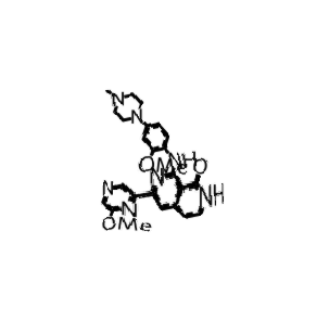 COc1cncc(-c2cc3cc[nH]c(=O)c3c(Nc3ccc(N4CCN(C)CC4)cc3OC)n2)n1